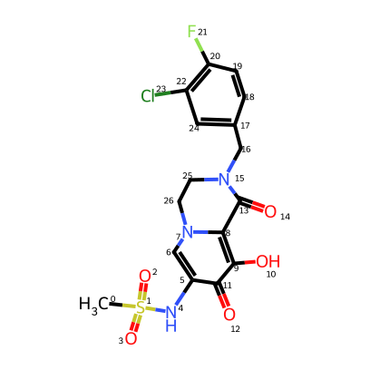 CS(=O)(=O)Nc1cn2c(c(O)c1=O)C(=O)N(Cc1ccc(F)c(Cl)c1)CC2